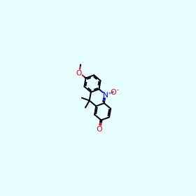 COc1ccc2c(c1)C(C)(C)C1=CC(=O)C=CC1=[N+]2[O-]